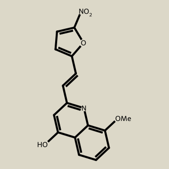 COc1cccc2c(O)cc(C=Cc3ccc([N+](=O)[O-])o3)nc12